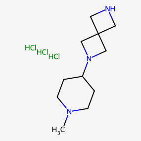 CN1CCC(N2CC3(CNC3)C2)CC1.Cl.Cl.Cl